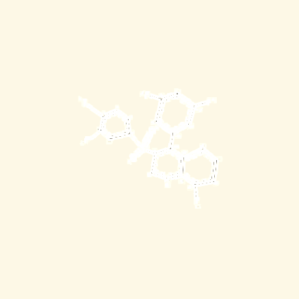 O=S(=O)(c1ccc(F)c(F)c1)c1cnc2c(F)cccc2c1-c1cc(F)cc(F)c1